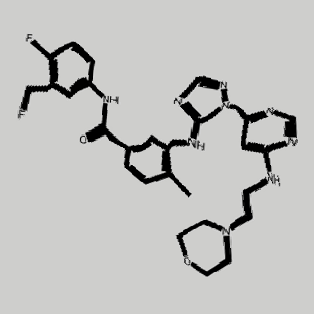 Cc1ccc(C(=O)Nc2ccc(F)c(CF)c2)cc1Nc1ncnn1-c1cc(NCCN2CCOCC2)ncn1